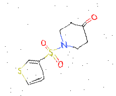 O=C1CCN(S(=O)(=O)c2ccsc2)CC1